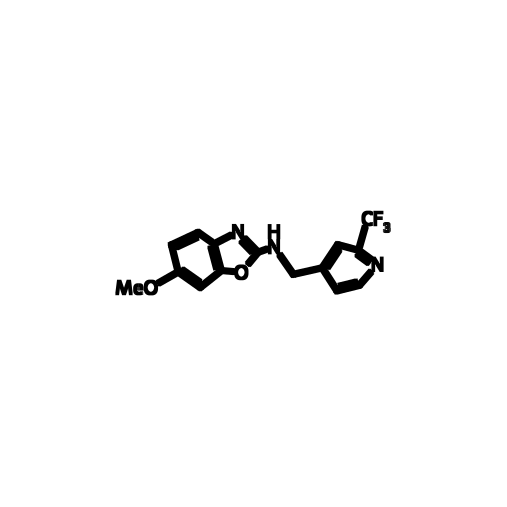 COc1ccc2nc(NCc3ccnc(C(F)(F)F)c3)oc2c1